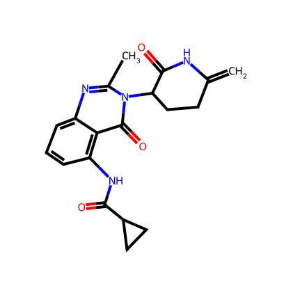 C=C1CCC(n2c(C)nc3cccc(NC(=O)C4CC4)c3c2=O)C(=O)N1